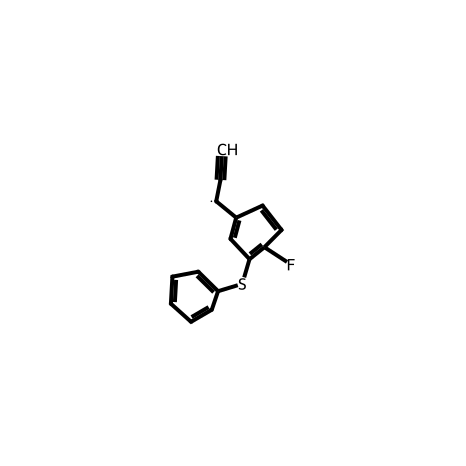 C#C[CH]c1ccc(F)c(Sc2ccccc2)c1